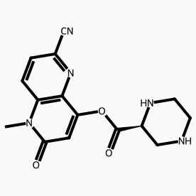 Cn1c(=O)cc(OC(=O)[C@@H]2CNCCN2)c2nc(C#N)ccc21